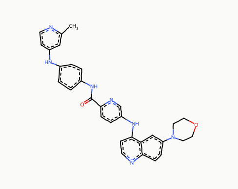 Cc1cc(Nc2ccc(NC(=O)c3ccc(Nc4ccnc5ccc(N6CCOCC6)cc45)cn3)cc2)ccn1